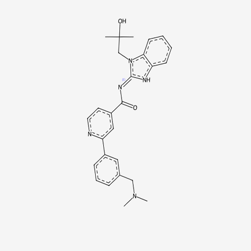 CN(C)Cc1cccc(-c2cc(C(=O)/N=c3\[nH]c4ccccc4n3CC(C)(C)O)ccn2)c1